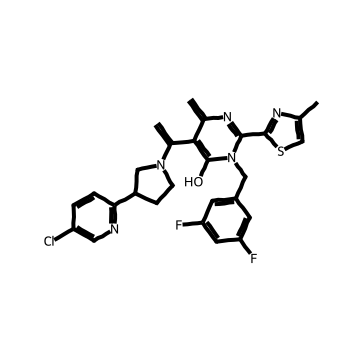 C=C1N=C(c2nc(C)cs2)N(Cc2cc(F)cc(F)c2)C(O)=C1C(=C)N1CCC(c2ccc(Cl)cn2)C1